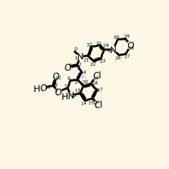 CN(C(=O)/C=C1\CC(OC(=O)O)Nc2cc(Cl)cc(Cl)c21)c1ccc(N2CCOCC2)cc1